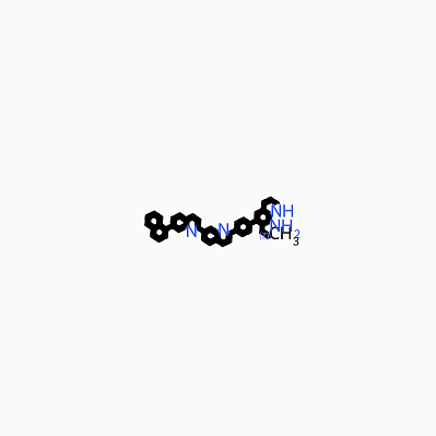 C/C=C\c1c(-c2ccc(-c3ccc4ccc(-c5ccc6ccc(-c7cccc8ccccc78)cc6n5)cc4n3)cc2)cc2c(c1N)NCC=C2